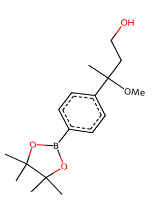 COC(C)(CCO)c1ccc(B2OC(C)(C)C(C)(C)O2)cc1